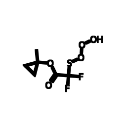 CC1(OC(=O)C(F)(F)SOOO)CC1